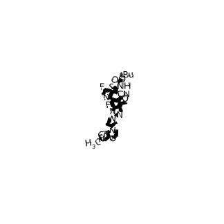 CN(C)CC1CN([C@@H]2CCN(c3ncc4c5c(c(-c6ncc(F)c7sc(NC(=O)OC(C)(C)C)c(C#N)c67)c(F)c4n3)COC5)C2)CCO1